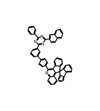 c1ccc(-c2nc(-c3cccc(-c4ccc(-c5nc6ccccc6c6c5-c5ccccc5C65c6ccccc6-c6ccccc65)cc4)c3)nc(-c3ccc4ccccc4c3)n2)cc1